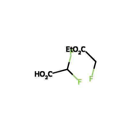 CCOC(=O)CF.O=C(O)C(F)F